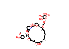 CO[C@@H]1C[C@H](C[C@@H](C)[C@@H]2CC(=O)[C@H](C)/C=C(\C)[C@@H](O)[C@@H](OC)C(=O)[C@H](C)C[C@H](C)/C=C/C=C/C=C(\C)[C@@H](OCCOC[C@H]3O[C@@H](O)[C@H](O)[C@@H](O)[C@@H]3O)C[C@@H]3CC[C@@H](C)[C@@](O)(O3)C(=O)C(=O)N3CCCC[C@H]3C(=O)O2)CC[C@H]1O